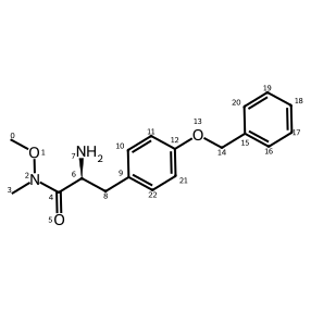 CON(C)C(=O)[C@@H](N)Cc1ccc(OCc2ccccc2)cc1